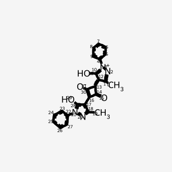 CC1=N[N+](c2ccccc2)=C(O)/C1=C1/C(=O)C(c2c(C)nn(-c3ccccc3)c2O)=C1[O-]